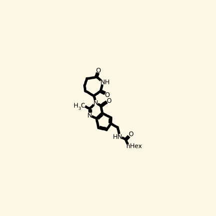 CCCCCCC(=O)NCc1ccc2nc(C)n(C3CCCC(=O)NC3=O)c(=O)c2c1